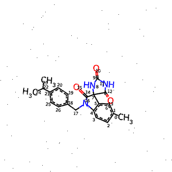 Cc1ccc2c(c1)C1(NC(=O)NC1=O)C(=O)N2Cc1ccc(C(C)C)cc1